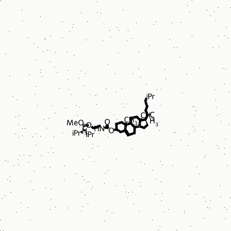 COP(OCCNC(=O)OC1CC[C@@]2(C)C(=CCC3C2CC[C@@]2(C)C3CC[C@@H]2[C@H](C)CCCC(C)C)C1)N(C(C)C)C(C)C